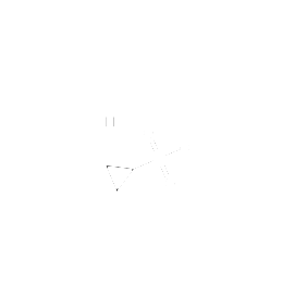 Cl.O=S(=O)(O)C1CC1